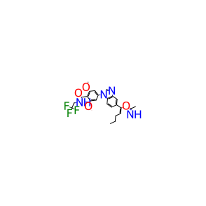 CCC/C=C(/OC(C)=N)c1ccc2c(c1)ncn2-c1cc(OC)c(C(=O)NCC(F)(F)F)c(OC)c1